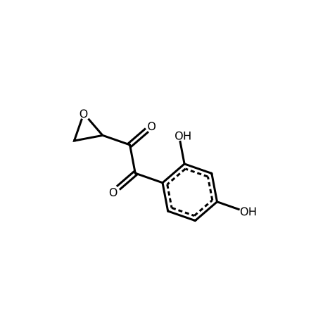 O=C(C(=O)C1CO1)c1ccc(O)cc1O